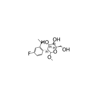 C=C(C)c1cc(F)ccc1[C@H]1C(OC)O[C@H](CO)[C@H](O)[C@@H]1O